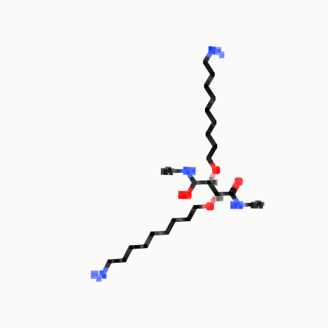 CCCNC(=O)[C@H](OCCCCCCCCCN)[C@@H](OCCCCCCCCCN)C(O)NCCC